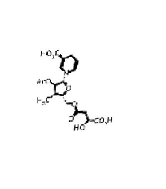 CC(=O)O[C@@H]1[C@H](C)[C@@H](COC(=O)C[C@H](O)C(=O)O)O[C@H]1N1C=CCC(C(=O)O)=C1